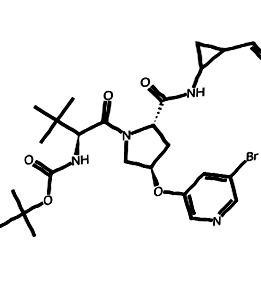 C=CC1CC1NC(=O)[C@@H]1C[C@@H](Oc2cncc(Br)c2)CN1C(=O)[C@@H](NC(=O)OC(C)(C)C)C(C)(C)C